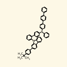 CC(C)(C)c1ccc(-c2ccc3c4ccccc4n(-c4ccccc4-c4ccc(N(c5ccccc5)c5ccc(-c6ccc(-c7ccccc7)cc6)cc5)cc4)c3c2)cc1